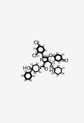 O=C(c1nn(-c2ccc(Cl)cc2Cl)c(Oc2ccc(Cl)cc2)c1CNC1CCCCC1)N1CCC(O)(c2ccccc2)CC1